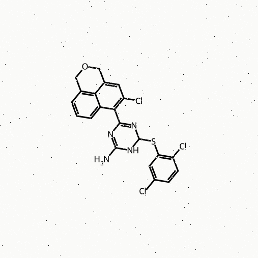 NC1=NC(c2c(Cl)cc3c4c(cccc24)COC3)=NC(Sc2cc(Cl)ccc2Cl)N1